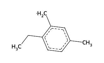 [CH2]c1cc(C)ccc1CC